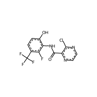 O=C(Nc1c(O)ccc(C(F)(F)F)c1F)c1nccnc1Cl